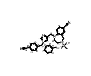 CS(=O)(=O)N1Cc2cc(C#N)ccc2N(Cc2cn(Cc3ccc(C#N)cc3)cn2)C[C@H]1Cc1ccccc1